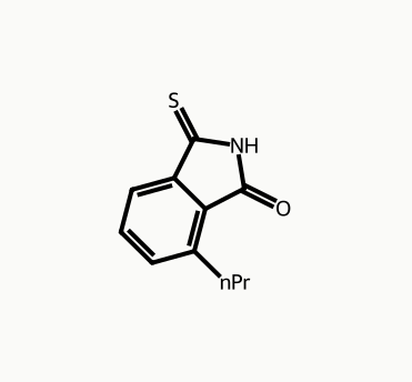 CCCc1cccc2c1C(=O)NC2=S